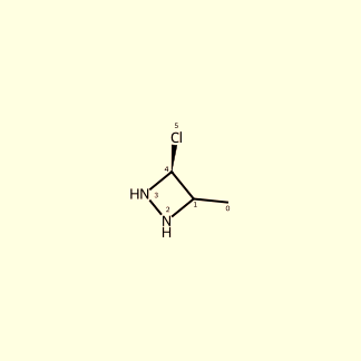 CC1NN[C@H]1Cl